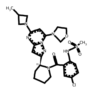 CC1CN(c2cc(N3CCOC3)n3nc([C@@H]4CCCCN4C(=O)c4cc(Cl)ccc4NS(C)(=O)=O)cc3n2)C1